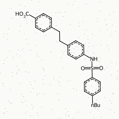 CCCCc1ccc(S(=O)(=O)Nc2ccc(CCc3ccc(C(=O)O)cc3)cc2)cc1